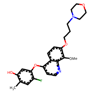 COc1c(OCCCN2CCOCC2)ccc2c(Oc3cc(O)c(C)cc3F)ccnc12